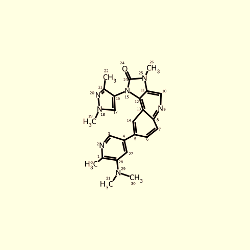 Cc1ncc(-c2ccc3ncc4c(c3c2)n(-c2cn(C)nc2C)c(=O)n4C)cc1N(C)C